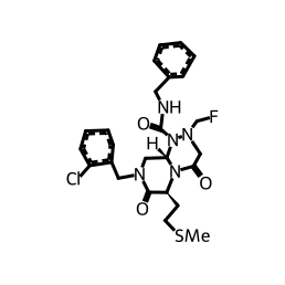 CSCC[C@H]1C(=O)N(Cc2ccccc2Cl)C[C@H]2N1C(=O)CN(CF)N2C(=O)NCc1ccccc1